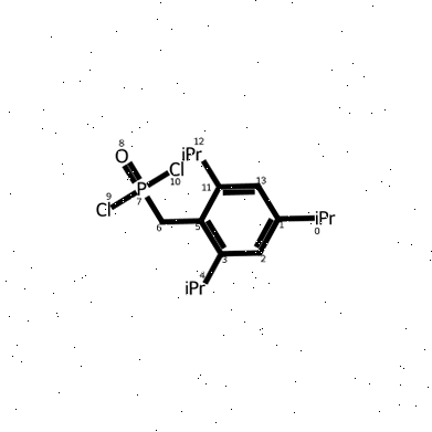 CC(C)c1cc(C(C)C)c(CP(=O)(Cl)Cl)c(C(C)C)c1